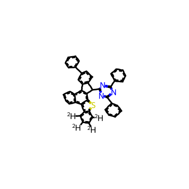 [2H]c1c([2H])c([2H])c2c(sc3c4c(c5ccccc5c32)-c2cc(-c3ccccc3)ccc2C4c2nc(-c3ccccc3)nc(-c3ccccc3)n2)c1[2H]